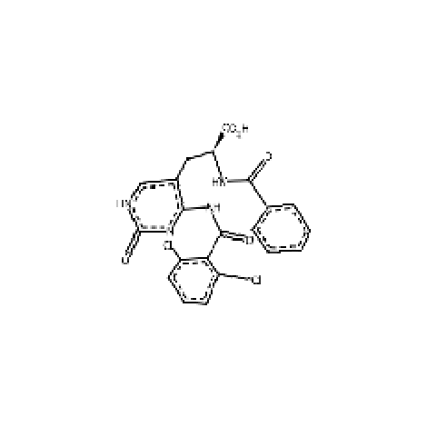 O=C(N[C@@H](Cc1c[nH]c(=O)nc1NC(=O)c1c(Cl)cccc1Cl)C(=O)O)c1ccccc1